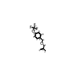 C=C(C)COCc1ccc(OC(F)(F)F)cc1